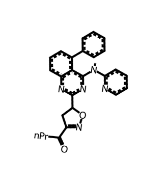 CCCC(=O)C1=NOC(c2nc(N(C)c3ccccn3)c3c(-c4ccccc4)cccc3n2)C1